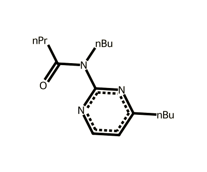 CCCCc1ccnc(N(CCCC)C(=O)CCC)n1